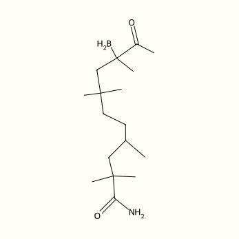 BC(C)(CC(C)(C)CCC(C)CC(C)(C)C(N)=O)C(C)=O